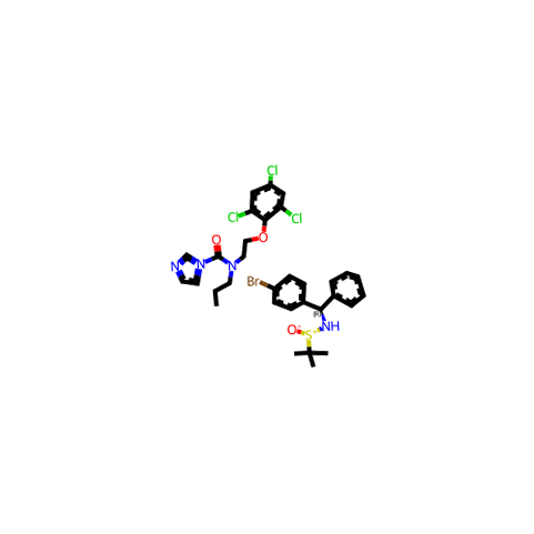 CC(C)(C)[S+]([O-])N[C@H](c1ccccc1)c1ccc(Br)cc1.CCCN(CCOc1c(Cl)cc(Cl)cc1Cl)C(=O)n1ccnc1